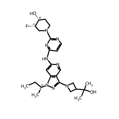 CC[C@H](C)n1nc(N2CC(C(C)(C)O)C2)c2cnc(Nc3ccnc(N4CC[C@@H](O)[C@@H](F)C4)n3)cc21